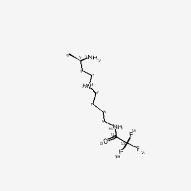 C[C@@H](N)CCNCCCCNC(=O)C(F)(F)F